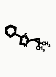 CC1(C)CC1c1ncc(-c2ccccc2)s1